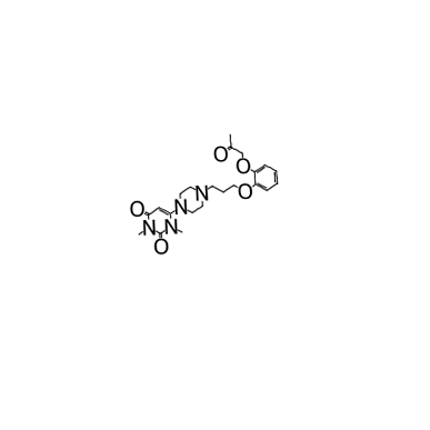 CC(=O)COc1ccccc1OCCCN1CCN(c2cc(=O)n(C)c(=O)n2C)CC1